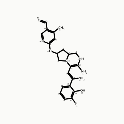 Cc1cc(OC2CC3CNC(N)=C(/C=C(\N)c4cccc(F)c4O)N3C2)ncc1C=O